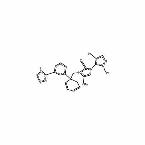 CCCCc1cn(-c2c(C(C)C)cnn2C(C)C)c(=O)n1CC1(c2cccc(-c3nnn[nH]3)c2)C=CN=CC1